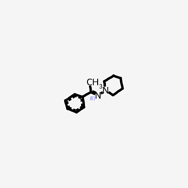 C/C(=N\N1CCCCC1)c1ccccc1